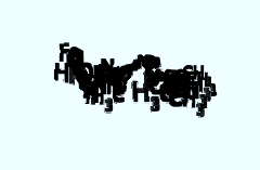 CCN(CCOP(=O)(OC(C)(C)C)OC(C)(C)C)C[C@@H]1CCCN1CCCOc1cc2ncnc(Nc3ncc(CC(=O)Nc4cccc(F)c4)s3)c2cc1OC